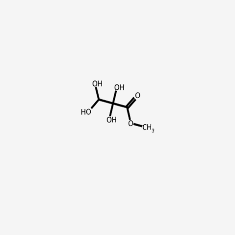 COC(=O)C(O)(O)C(O)O